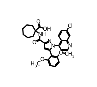 COc1cccc(OC)c1-c1cc(C(=O)NC2(C(=O)O)CCCCCC2)nn1-c1ccnc2cc(Cl)ccc12